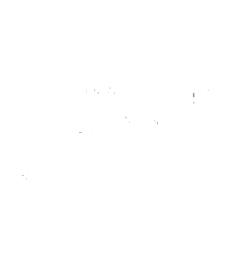 N#Cc1cccc(-c2ccc3c(NC(=O)NCCc4cccs4)n[nH]c3c2)c1